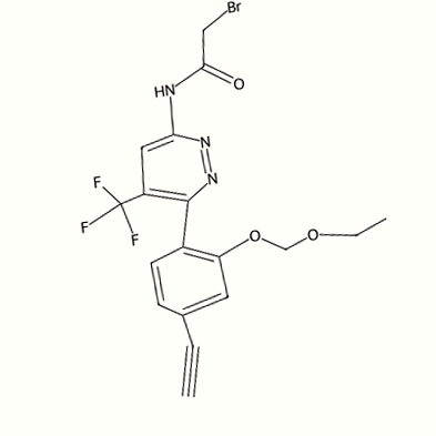 C#Cc1ccc(-c2nnc(NC(=O)CBr)cc2C(F)(F)F)c(OCOCC)c1